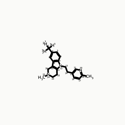 [2H]C([2H])([2H])c1ccc2c(c1)c1c(n2CCc2ccc(C)nc2)CCN(C)C1